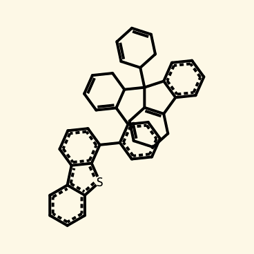 C1=CCC(C2(C3CC=CC=C3c3ccccc3-c3cccc4c3sc3ccccc34)C3=C(CCC=C3)c3ccccc32)C=C1